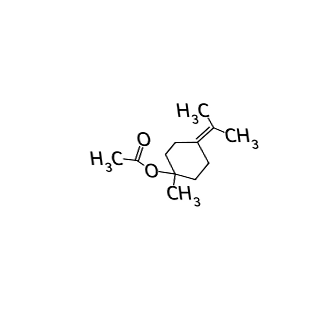 CC(=O)OC1(C)CCC(=C(C)C)CC1